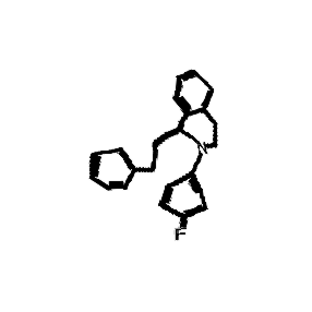 Fc1ccc(N2CCc3ccccc3C2CCc2ccccc2)cc1